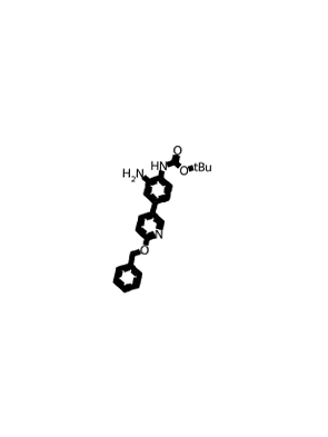 CC(C)(C)OC(=O)Nc1ccc(-c2ccc(OCc3ccccc3)nc2)cc1N